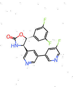 O=C1N[C@H](c2cncc(-c3cncc(F)c3)c2)[C@@H](c2cc(F)cc(F)c2)O1